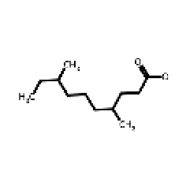 CCC(C)CCCC(C)CCC([O])=O